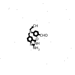 C#CCN(Cc1ccc2nc(N)[nH]c(=O)c2c1)c1ccc(C=O)cc1